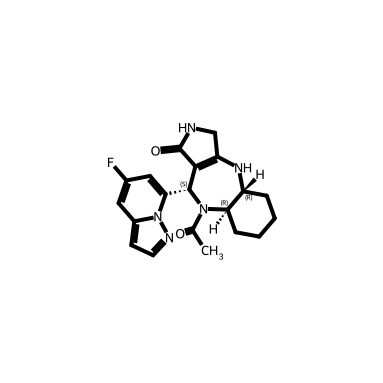 CC(=O)N1[C@@H]2CCCC[C@H]2NC2=C(C(=O)NC2)[C@H]1c1cc(F)cc2ccnn12